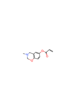 C=CC(=O)Oc1ccc2c(c1)CN(C)CO2